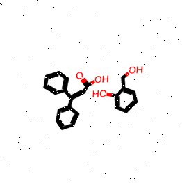 O=C(O)C=C(c1ccccc1)c1ccccc1.OCc1ccccc1O